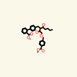 CCCCC(=O)C(Cc1ccc(-c2ccccc2C(=O)OC)cc1)C(=O)COCc1ccc(C(=O)OC)cc1